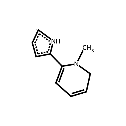 CN1CC=CC=C1c1cc[c][nH]1